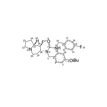 CC(C)COc1ccc(CN(C(=O)NCc2ccc(F)cc2)[C@@H]2CCN3CCC[C@@H]3[C@H]2F)cc1